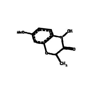 COc1ccc2c(c1)OC(C)C(=O)N2O